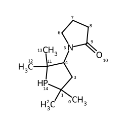 CC1(C)CC(N2CCCC2=O)C(C)(C)P1